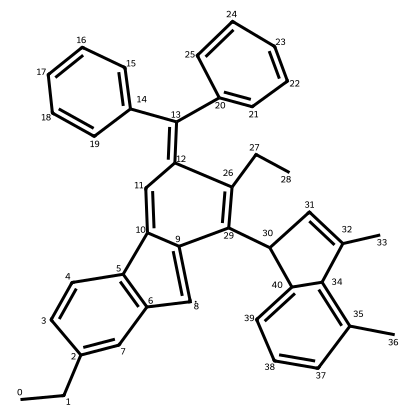 CCc1ccc2c(c1)[C]=c1c-2cc(=C(c2ccccc2)c2ccccc2)c(CC)c1C1C=C(C)c2c(C)cccc21